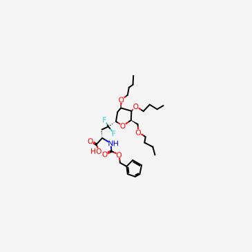 CCCCOC[C@H]1O[C@H](C(F)(F)C[C@H](NC(=O)OCc2ccccc2)C(=O)O)C[C@@H](OCCCC)[C@H]1OCCCC